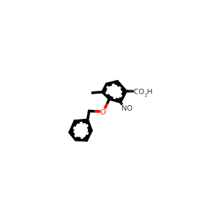 Cc1ccc(C(=O)O)c(N=O)c1OCc1ccccc1